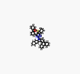 c1ccc2cc3c(cc2c1)c1c2c4ccccc4c4ccccc4c2ccc1n3-c1nc(-c2cccc3c2oc2ccccc23)c2sc3ccccc3c2n1